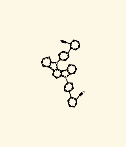 N#Cc1ccccc1-c1ccc(-n2c3ccccc3c3c2ccc2c4ccccc4n(-c4ccc(-c5ccccc5C#N)cc4)c23)cc1